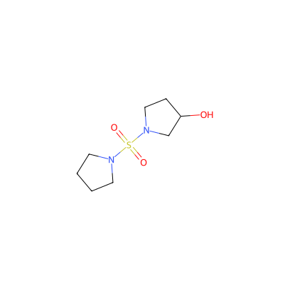 O=S(=O)(N1CCCC1)N1CCC(O)C1